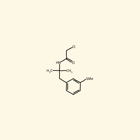 CSc1cccc(CC(C)(C)NC(=O)CCl)c1